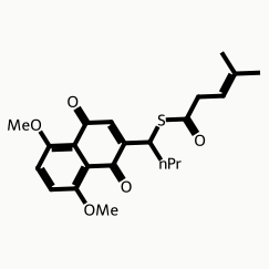 CCCC(SC(=O)CC=C(C)C)C1=CC(=O)c2c(OC)ccc(OC)c2C1=O